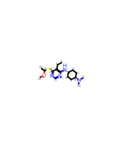 CCc1c(N[C@H]2CC[C@H](N(C)C)CC2)ncnc1SC(C)OC